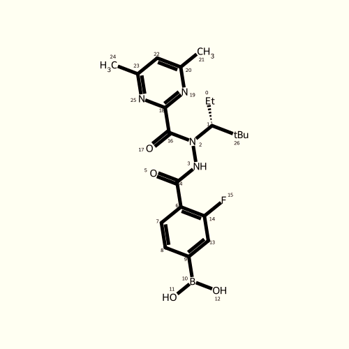 CC[C@@H](N(NC(=O)c1ccc(B(O)O)cc1F)C(=O)c1nc(C)cc(C)n1)C(C)(C)C